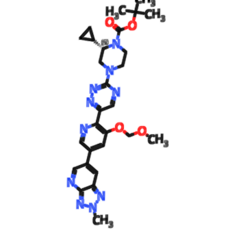 COCOc1cc(-c2cnc3nn(C)nc3c2)cnc1-c1cnc(N2CCN(C(=O)OC(C)(C)C)[C@@H](C3CC3)C2)nn1